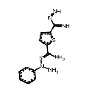 N=NC(=N)c1ccc(/C(N)=N/N(N)c2ccccc2)s1